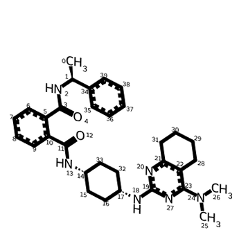 C[C@H](NC(=O)c1ccccc1C(=O)N[C@H]1CC[C@@H](Nc2nc3c(c(N(C)C)n2)CCCC3)CC1)c1ccccc1